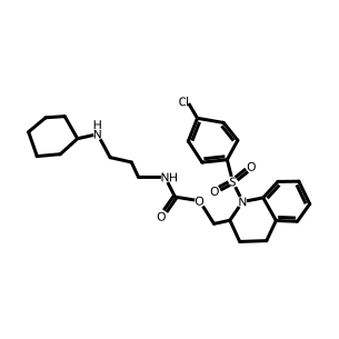 O=C(NCCCNC1CCCCC1)OCC1CCc2ccccc2N1S(=O)(=O)c1ccc(Cl)cc1